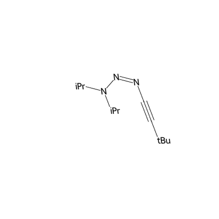 CC(C)N(/N=N\C#CC(C)(C)C)C(C)C